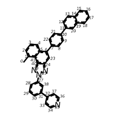 Cc1cccc2c(-c3ccc(-c4ccc5ccccc5c4)cc3)cc3nn(-c4cccc(-c5ccncc5)c4)nc3c12